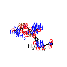 CC(C)C(NC(=O)CCCCCN1C(=O)C=CC1=O)C(=O)N[C@@H](C)C(=O)Nc1ccc(COC(=O)NC2C3OP(=O)(S)OCC4OC(n5cnc6c(=O)[nH]c(N)nc65)C(O)C4OP(=O)(S)OCC3OC2n2cnc3c(=O)[nH]c(N)nc32)cc1